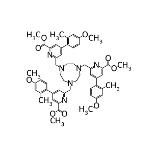 COC(=O)c1cc(-c2ccc(OC)cc2C)cc(CN2CCN(Cc3cc(-c4ccc(OC)cc4C)cc(C(=O)OC)n3)CCN(Cc3cc(-c4ccc(OC)cc4C)cc(C(=O)OC)n3)CC2)n1